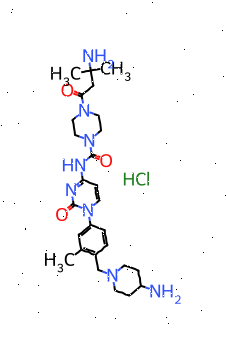 Cc1cc(-n2ccc(NC(=O)N3CCN(C(=O)CC(C)(C)N)CC3)nc2=O)ccc1CN1CCC(N)CC1.Cl